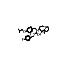 CC(C)COc1ccc(CN(C(=O)NCc2ccc(F)cc2)[C@H]2CCN3CCC[C@H]3[C@@H]2F)cc1